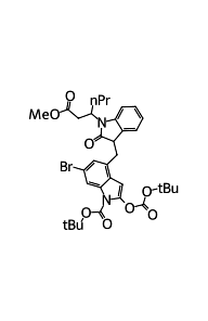 CCCC(CC(=O)OC)N1C(=O)C(Cc2cc(Br)cc3c2cc(OC(=O)OC(C)(C)C)n3C(=O)OC(C)(C)C)c2ccccc21